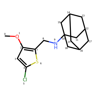 COc1cc(Cl)sc1CNC12CC3CC(CC(C3)C1)C2